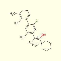 CC(=O)/C(=C(/O)C1(C)CCCCC1)c1cc(Cl)c(-c2cccc(C)c2C)cc1C